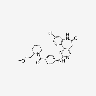 COCCC1CCCCN1C(=O)c1ccc(Nc2ncc3c(n2)-c2ccc(Cl)cc2NC(=O)C3)cc1